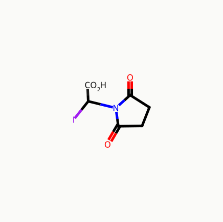 O=C(O)C(I)N1C(=O)CCC1=O